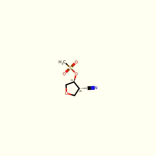 CS(=O)(=O)O[C@@H]1COC[C@H]1C#N